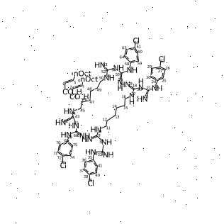 CCCCCCCCC=CC(=O)O.CCCCCCCCC=CC(=O)O.N=C(NCCCCCCNC(=N)NC(=N)Nc1ccc(Cl)cc1)NC(=N)Nc1ccc(Cl)cc1.N=C(NCCCCCCNC(=N)NC(=N)Nc1ccc(Cl)cc1)NC(=N)Nc1ccc(Cl)cc1